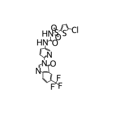 O=C(Nc1ccc(-n2cnc3ccc(C(F)(F)F)cc3c2=O)nc1)NS(=O)(=O)c1ccc(Cl)s1